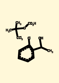 CC(C)(OC(=O)O)C(Cl)(Cl)Cl.CC(O)c1ccccc1Cl